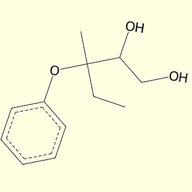 CCC(C)(Oc1ccccc1)C(O)CO